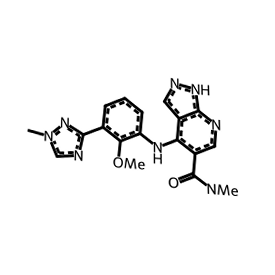 CNC(=O)c1cnc2[nH]ncc2c1Nc1cccc(-c2ncn(C)n2)c1OC